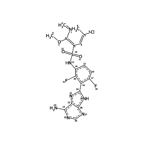 C=N/C(OC)=C(\C=C(/C)Cl)S(=O)(=O)Nc1ccc(F)c(-c2nc3c(N)ncnc3[nH]2)c1F